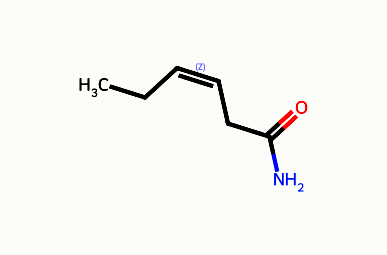 CC/C=C\CC(N)=O